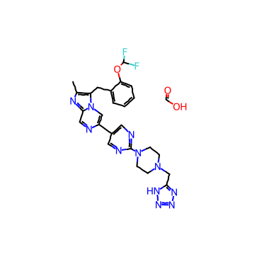 Cc1nc2cnc(-c3cnc(N4CCN(Cc5nnn[nH]5)CC4)nc3)cn2c1Cc1ccccc1OC(F)F.O=CO